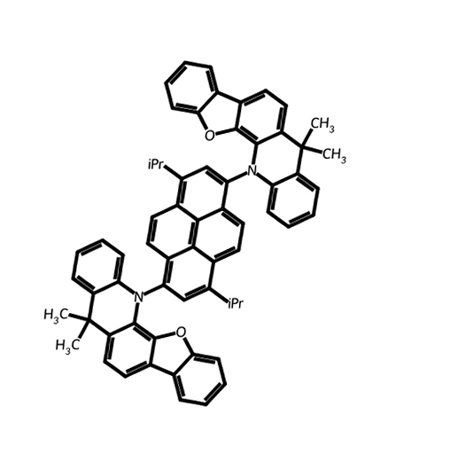 CC(C)c1cc(N2c3ccccc3C(C)(C)c3ccc4c(oc5ccccc54)c32)c2ccc3c(C(C)C)cc(N4c5ccccc5C(C)(C)c5ccc6c(oc7ccccc76)c54)c4ccc1c2c34